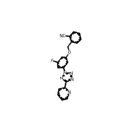 N#Cc1ccccc1COc1cc(F)cc(-n2nnc(-c3ccccn3)n2)c1